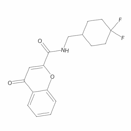 O=C(NCC1CCC(F)(F)CC1)c1cc(=O)c2ccccc2o1